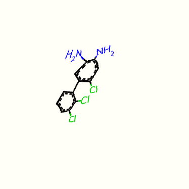 Nc1cc(Cl)c(-c2cccc(Cl)c2Cl)cc1N